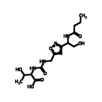 CCCC(=O)NC(CO)c1noc(CNC(=O)NC(C(=O)O)C(C)O)n1